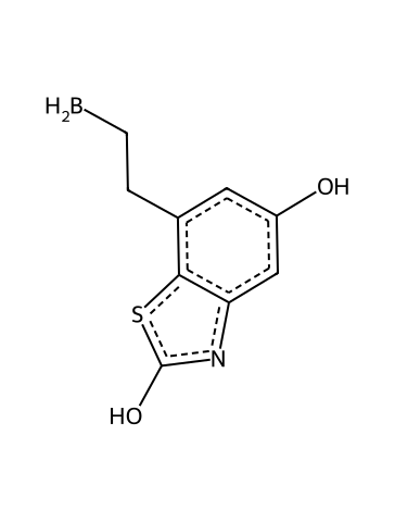 BCCc1cc(O)cc2nc(O)sc12